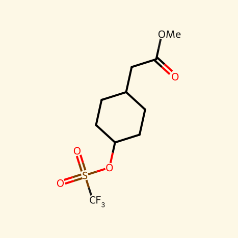 COC(=O)CC1CCC(OS(=O)(=O)C(F)(F)F)CC1